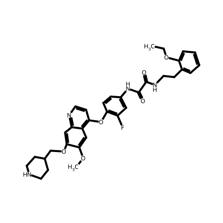 CCOc1ccccc1CCNC(=O)C(=O)Nc1ccc(Oc2ccnc3cc(OCC4CCNCC4)c(OC)cc23)c(F)c1